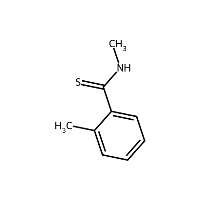 CNC(=S)c1ccccc1C